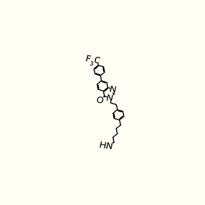 N=CCCCCc1ccc(CCn2cnc3cc(-c4ccc(C(F)(F)F)cc4)ccc3c2=O)cc1